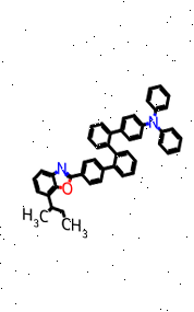 CCC(C)c1cccc2nc(-c3ccc(-c4ccccc4-c4ccccc4-c4ccc(N(c5ccccc5)c5ccccc5)cc4)cc3)oc12